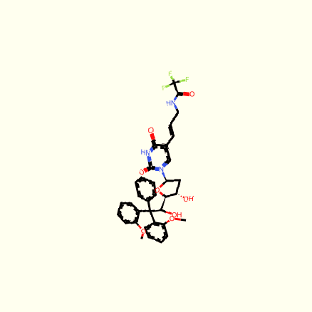 COc1ccccc1C(c1ccccc1)(c1ccccc1OC)C(O)[C@H]1O[C@@H](n2cc(/C=C/CNC(=O)C(F)(F)F)c(=O)[nH]c2=O)C[C@@H]1O